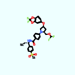 CCS(=O)(=O)c1ccc([C@H](CC#N)NC(=O)c2ccc(N3C[C@@H](Oc4ccc5c(c4)OC(F)(F)O5)C[C@H]3COC(F)F)cc2)cc1